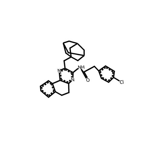 O=C(Cc1ccc(Cl)cc1)Nc1nc2c(nc1CC13CC4CC(CC(C4)C1)C3)-c1ccccc1CC2